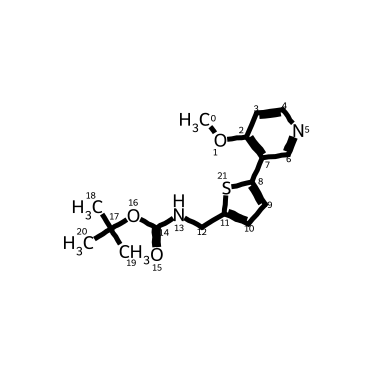 COc1ccncc1-c1ccc(CNC(=O)OC(C)(C)C)s1